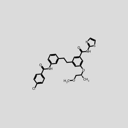 COC[C@H](C)Oc1cc(CCc2cccc(NC(=O)c3ccc(Cl)cc3)c2)cc(C(=O)Nc2nccs2)c1